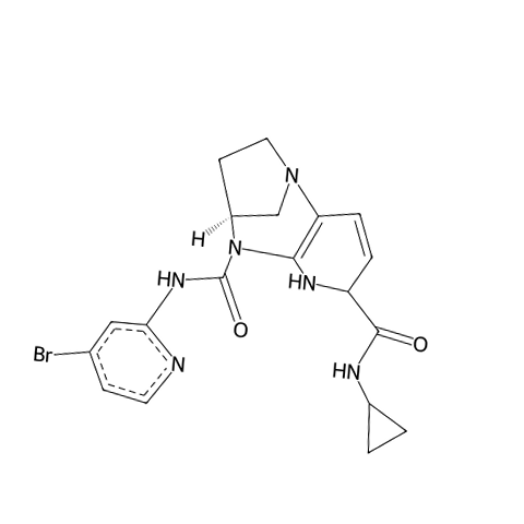 O=C(NC1CC1)C1C=CC2=C(N1)N(C(=O)Nc1cc(Br)ccn1)[C@H]1CCN2C1